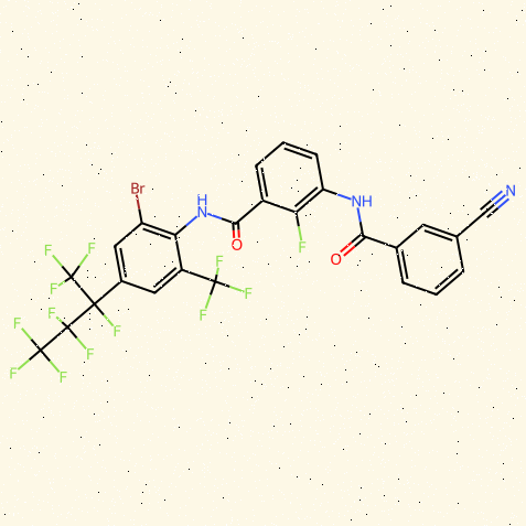 N#Cc1cccc(C(=O)Nc2cccc(C(=O)Nc3c(Br)cc(C(F)(C(F)(F)F)C(F)(F)C(F)(F)F)cc3C(F)(F)F)c2F)c1